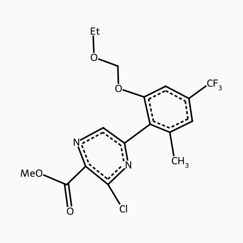 CCOCOc1cc(C(F)(F)F)cc(C)c1-c1cnc(C(=O)OC)c(Cl)n1